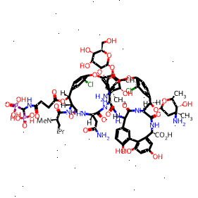 CN[C@H](CC(C)C)C(=O)N[C@H]1C(=O)N[C@@H](CC(N)=O)C(=O)N[C@H]2C(=O)N[C@H]3C(=O)N[C@H](C(=O)N[C@H](C(=O)O)c4cc(O)cc(O)c4-c4cc3ccc4O)[C@H](O[C@H]3C[C@](C)(N)[C@@H](O)[C@H](C)O3)c3ccc(c(Cl)c3)Oc3cc2cc(c3O[C@@H]2O[C@H](CO)[C@@H](O)[C@H](O)[C@H]2O[C@H]2C[C@](C)(N)[C@@H](O)[C@H](C)O2)Oc2ccc(cc2Cl)[C@H]1OC(=O)CCC(=O)NC(P(=O)(O)O)P(=O)(O)O